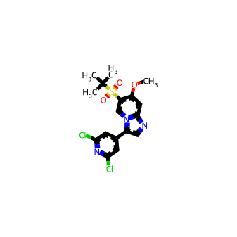 COc1cc2ncc(-c3cc(Cl)nc(Cl)c3)n2cc1S(=O)(=O)C(C)(C)C